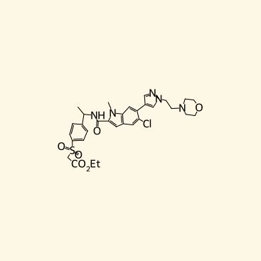 CCOC(=O)CS(=O)(=O)c1ccc(C(C)NC(=O)c2cc3cc(Cl)c(-c4cnn(CCN5CCOCC5)c4)cc3n2C)cc1